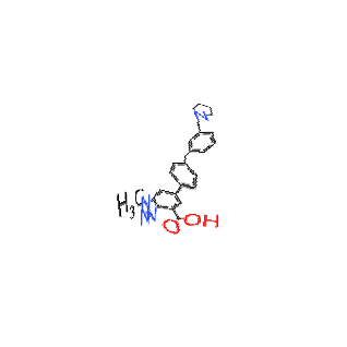 Cn1nnc2c(C(=O)O)cc(-c3ccc(-c4cccc(CN5CCCC5)c4)cc3)cc21